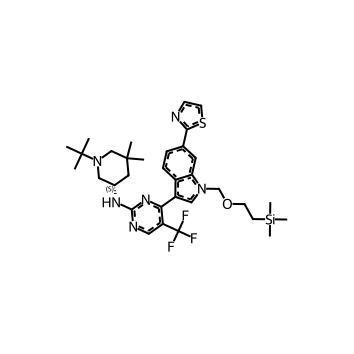 CC1(C)C[C@H](Nc2ncc(C(F)(F)F)c(-c3cn(COCC[Si](C)(C)C)c4cc(-c5nccs5)ccc34)n2)CN(C(C)(C)C)C1